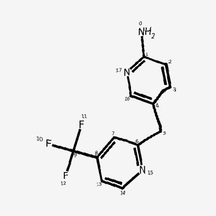 Nc1ccc(Cc2cc(C(F)(F)F)ccn2)cn1